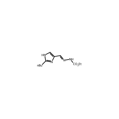 CCCCc1nc(C=NNC(=O)OCC)c[nH]1